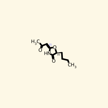 CCCC[C@@H]1O/C(=C/C(C)=O)NC1=O